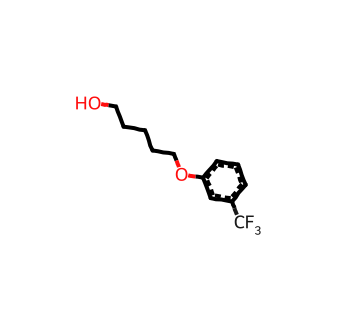 OCCCCCOc1cccc(C(F)(F)F)c1